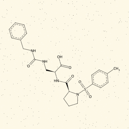 Cc1ccc(S(=O)(=O)N2CCC[C@H]2C(=O)N[C@@H](CNC(=O)NCc2ccccc2)C(=O)O)cc1